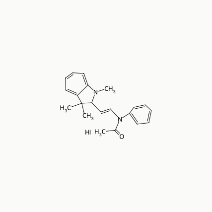 CC(=O)N(C=CC1N(C)c2ccccc2C1(C)C)c1ccccc1.I